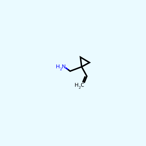 C=CC1(CN)CC1